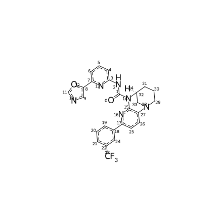 O=C(Nc1cccc(-c2cnco2)n1)N1c2nc(-c3cccc(C(F)(F)F)c3)ccc2N2CCC[C@H]1C2